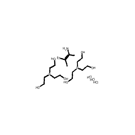 CCC(C)=C(C)N.Cl.Cl.Cl.OCCN(CCO)CCO.OCCN(CCO)CCO